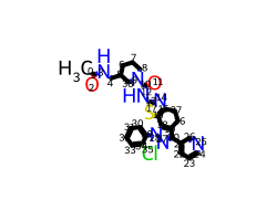 CC(=O)NCC1CCCN(C(=O)Nc2nc3c(s2)-c2c(c(-c4cccnc4)nn2-c2ccccc2Cl)CC3)C1